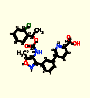 Cc1onc(-c2cccc(-c3ccc(C(=O)O)nc3)c2)c1NC(=O)OC(C)c1ccccc1Cl